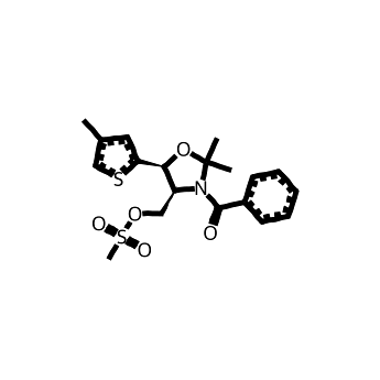 Cc1csc([C@H]2OC(C)(C)N(C(=O)c3ccccc3)[C@H]2COS(C)(=O)=O)c1